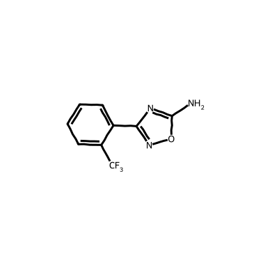 Nc1nc(-c2ccccc2C(F)(F)F)no1